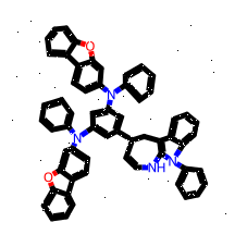 C1=CC(c2cc(N(c3ccccc3)c3ccc4c(c3)oc3ccccc34)cc(N(c3ccccc3)c3ccc4c(c3)oc3ccccc34)c2)Cc2c(n(-c3ccccc3)c3ccccc23)N1